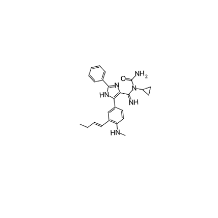 CC/C=C/c1cc(-c2[nH]c(-c3ccccc3)nc2C(=N)N(C(N)=O)C2CC2)ccc1NC